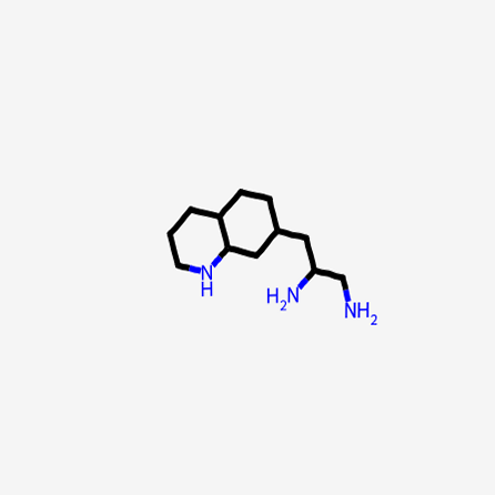 NCC(N)CC1CCC2CCCNC2C1